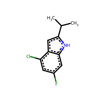 CC(C)c1cc2c(Cl)cc(F)cc2[nH]1